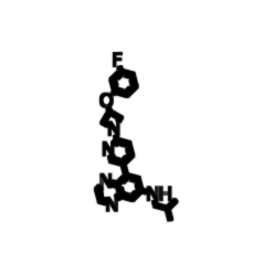 CC(C)CNc1cc(-c2ccc(N3CC(Oc4cccc(F)c4)C3)nc2)c2nccnc2c1